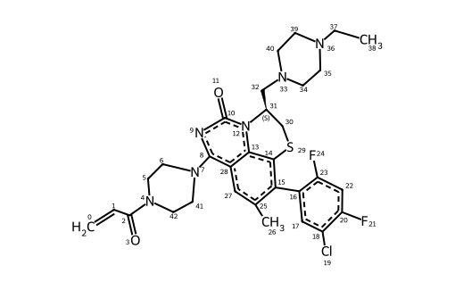 C=CC(=O)N1CCN(c2nc(=O)n3c4c(c(-c5cc(Cl)c(F)cc5F)c(C)cc24)SC[C@@H]3CN2CCN(CC)CC2)CC1